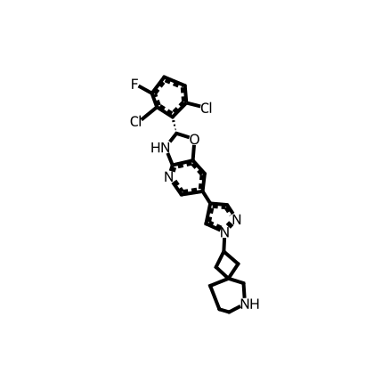 Fc1ccc(Cl)c([C@H]2Nc3ncc(-c4cnn(C5CC6(CCCNC6)C5)c4)cc3O2)c1Cl